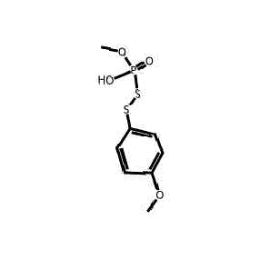 COc1ccc(SSP(=O)(O)OC)cc1